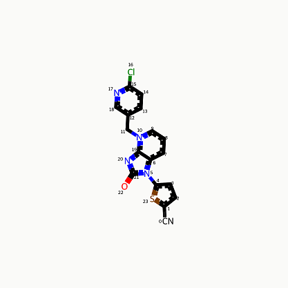 N#Cc1ccc(-n2c3cccn(Cc4ccc(Cl)nc4)c-3nc2=O)s1